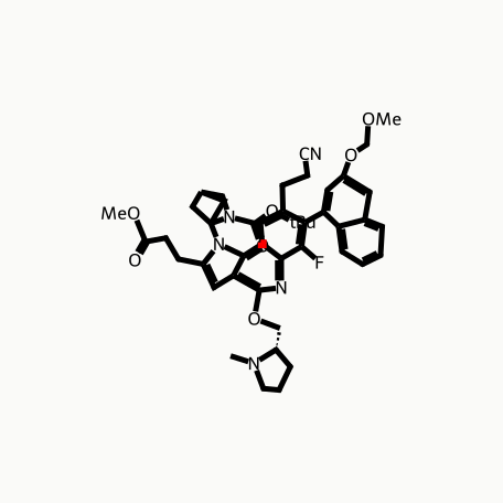 COCOc1cc(-c2c(CCC#N)cc3c(nc(OC[C@@H]4CCCN4C)c4cc(CCC(=O)OC)n(C56CC(CN5C(=O)OC(C)(C)C)C6)c43)c2F)c2ccccc2c1